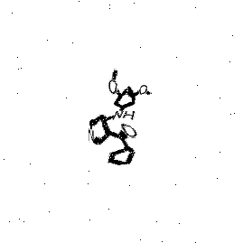 COc1cc(Nc2ccncc2C(=O)c2ccccc2)cc(OC)c1